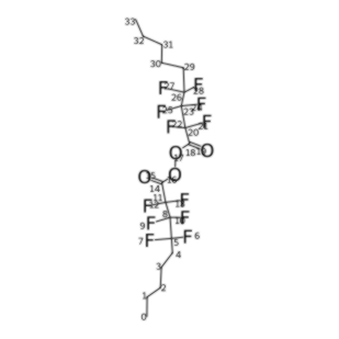 CCCCCC(F)(F)C(F)(F)C(F)(F)C(=O)OOC(=O)C(F)(F)C(F)(F)C(F)(F)CCCCC